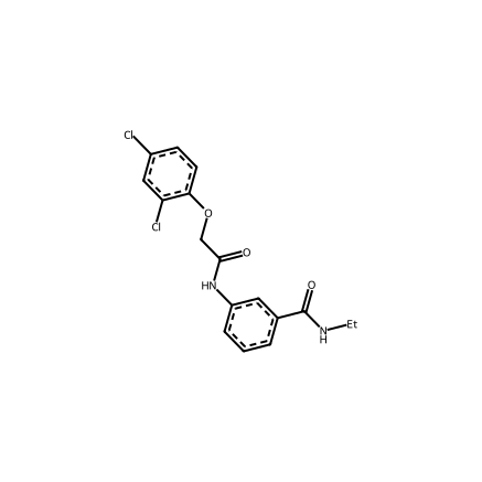 CCNC(=O)c1cccc(NC(=O)COc2ccc(Cl)cc2Cl)c1